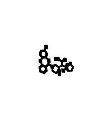 O=C(O)C([C@H]1CN2CCC1CC2)[C@H]1CN(C2=Nc3cc(Cl)ccc3Oc3ccccc32)CCN1